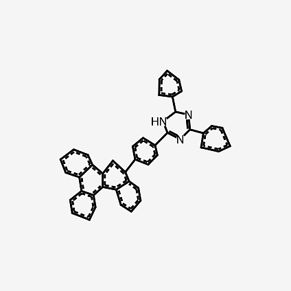 c1ccc(C2=NC(c3ccccc3)NC(c3ccc(-c4cc5c6ccccc6c6ccccc6c5c5ccccc45)cc3)=N2)cc1